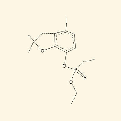 CCOP(=S)(CC)Oc1ccc(C)c2c1OC(C)(C)C2